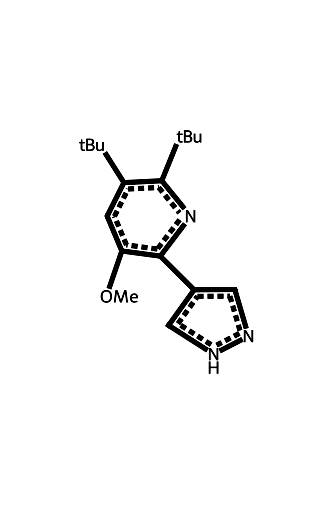 COc1cc(C(C)(C)C)c(C(C)(C)C)nc1-c1cn[nH]c1